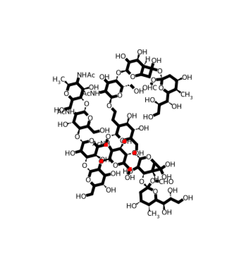 CC(=O)NC1C(O)[C@H](O[C@@H]2OC3CC(O)(O[C@]4(OC=O)C[C@@H](O)[C@@H](C)C([C@H](O)[C@H](O)CO)O4)[C@@H]3[C@H](O)C2O)[C@H](CO)O[C@H]1OCCC1[C@@H](OCC2O[C@@H](O[C@@H]3C(CO)O[C@@H](O[C@@H]4C(CO)O[C@@H](C)C(NC(C)=O)[C@H]4O)C(NC(C)=O)[C@H]3O)C(O)[C@@H](O[C@H]3OC(CO)[C@@H](O)C(O)C3O[C@@H]3OC(CO)[C@@H](O[C@@H]4OC5[C@@H]([C@H](O[C@]6(OC=O)C[C@@H](O)[C@@H](C)C([C@H](O)[C@H](O)CO)O6)C4O)C5(O)O)[C@H](O)C3NC(C)=O)[C@@H]2O)OC(CO)[C@@H](O)[C@@H]1O